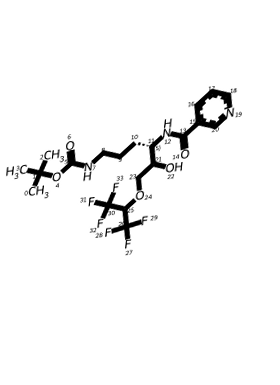 CC(C)(C)OC(=O)NCCC[C@H](NC(=O)c1cccnc1)C(O)COC(C(F)(F)F)C(F)(F)F